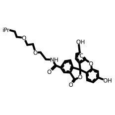 CC(C)CCOCCOCCNC(=O)c1ccc2c(c1)C(=O)OC21c2ccc(O)cc2Oc2cc(O)ccc21